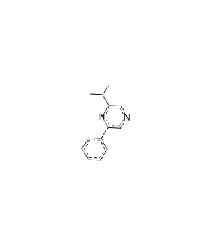 CC(C)c1cncc(-c2ccccc2)n1